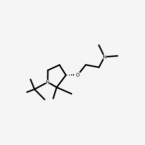 CN(C)CCO[C@H]1CCN(C(C)(C)C)C1(C)C